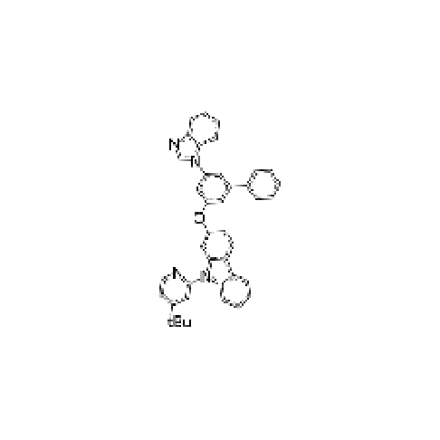 CC(C)(C)c1ccnc(-n2c3ccccc3c3ccc(Oc4cc(-c5ccccc5)cc(-n5cnc6ccccc65)c4)cc32)c1